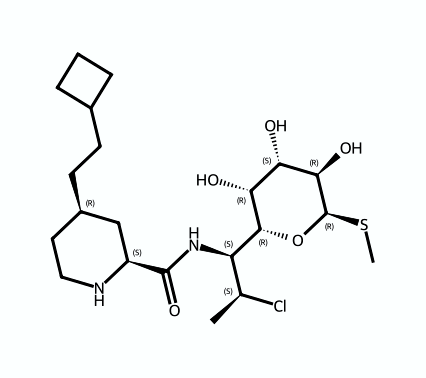 CS[C@H]1O[C@H]([C@H](NC(=O)[C@@H]2C[C@H](CCC3CCC3)CCN2)[C@H](C)Cl)[C@H](O)[C@H](O)[C@H]1O